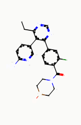 CCc1ncnc(-c2ccc(C(=O)N3CC[S+]([O-])CC3)c(Cl)c2)c1-c1ccc(N)nc1